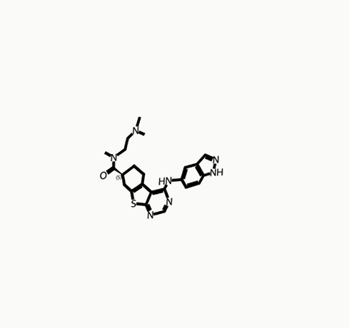 CN(C)CCN(C)C(=O)[C@H]1CCc2c(sc3ncnc(Nc4ccc5[nH]ncc5c4)c23)C1